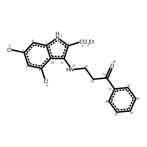 CCOC(=O)c1[nH]c2cc(Cl)cc(Cl)c2c1NCCC(=O)c1ccccc1